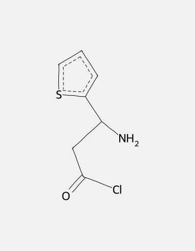 NC(CC(=O)Cl)c1cccs1